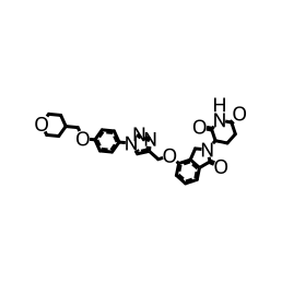 O=C1CCC(N2Cc3c(OCc4cn(-c5ccc(OCC6CCOCC6)cc5)nn4)cccc3C2=O)C(=O)N1